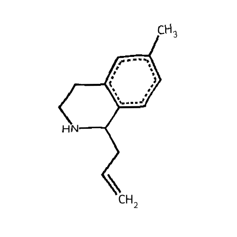 C=CCC1NCCc2cc(C)ccc21